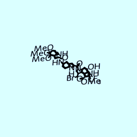 COC(=O)c1c(C(F)(F)F)[nH]c2c(O)cc3c(c12)C(CBr)CN3C(=O)c1cc2cc(NC(=O)c3cc4c(OC)c(OC)c(OC)cc4[nH]3)ccc2[nH]1